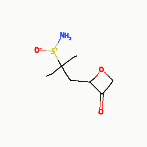 CC(C)(CC1OCC1=O)[S+](N)[O-]